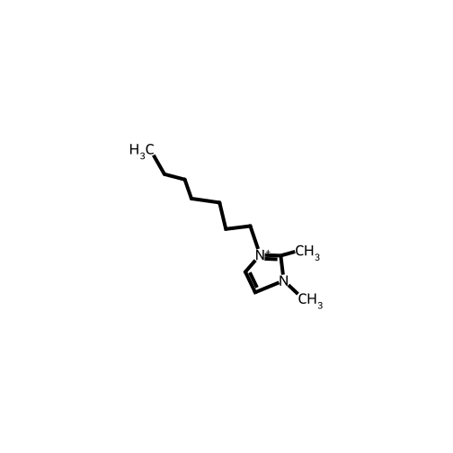 CCCCCCC[n+]1ccn(C)c1C